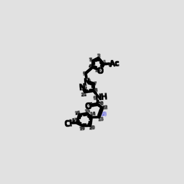 CC(=O)c1ccc(Cn2cc(NC(=O)/C=C\c3ccc(Cl)cc3)cn2)o1